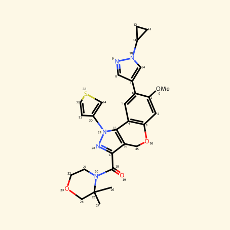 COc1cc2c(cc1-c1cnn(C3CC3)c1)-c1c(c(C(=O)N3CCOCC3(C)C)nn1-c1ccsc1)CO2